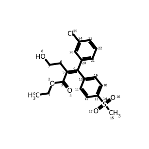 CCOC(=O)C(CCO)=C(c1ccc(S(C)(=O)=O)cc1)c1cccc(Cl)c1